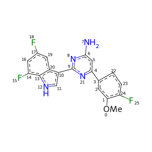 COc1cc(-c2cc(N)nc(-c3c[nH]c4c(F)cc(F)cc34)n2)ccc1F